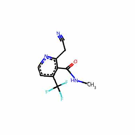 CNC(=O)c1c(C(F)(F)F)ccnc1CC#N